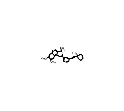 COc1cc2ncc3c(N)nc(-c4cncc(C#CC5(N)CCCCC5)c4)cc3c2cc1OC